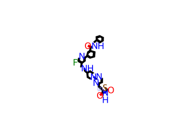 O=C1NC(=O)/C(=C/c2ccnc(N3CCC(CNCc4cc(-c5cccc(C(=O)NCc6ccccc6)c5)ncc4F)CC3)n2)S1